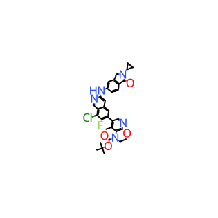 Cc1c(-c2cc3cc(Nc4ccc5c(c4)CN(C4CC4)C5=O)ncc3c(Cl)c2F)cnc2c1N(C(=O)OC(C)(C)C)CCO2